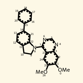 COc1cc2ncnc(N3CCc4ccc(-c5ccccc5)cc43)c2cc1OC